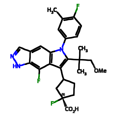 COCC(C)(C)c1c(C2CC[C@@](F)(C(=O)O)C2)c2c(F)c3[nH]ncc3cc2n1-c1ccc(F)c(C)c1